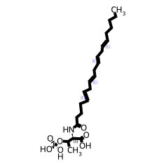 CCCCC/C=C/C/C=C/C/C=C/C/C=C/CCCC(=O)N[C@H](C(=O)O)C(C)OP(=O)(O)O